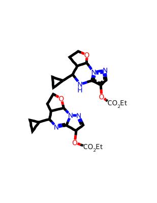 CCOC(=O)OC1C=NN2C1=NC(C1CC1)C1CCOC12.CCOC(=O)Oc1cnn2c1NC(C1CC1)C1CCOC12